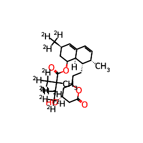 [2H]C([2H])([2H])[C@H]1C=C2C=C[C@H](C)[C@H](CCC3C[C@@H](O)CC(=O)O3)[C@H]2[C@@H](OC(=O)C(C)(C([2H])([2H])[2H])C([2H])([2H])C([2H])([2H])[2H])C1